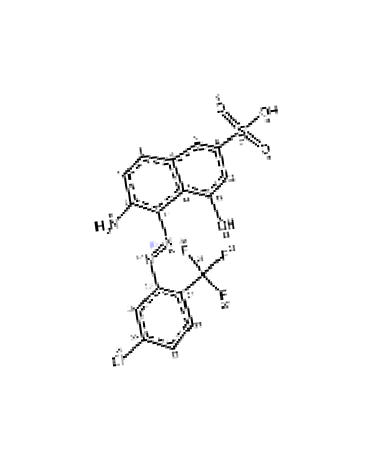 Nc1ccc2cc(S(=O)(=O)O)cc(O)c2c1/N=N/c1cc(Cl)ccc1C(F)(F)F